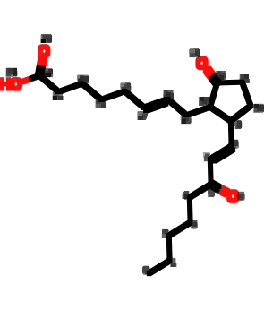 CCCCCC(=O)C=CC1CCC(=O)C1CC=CCCCCC(=O)O